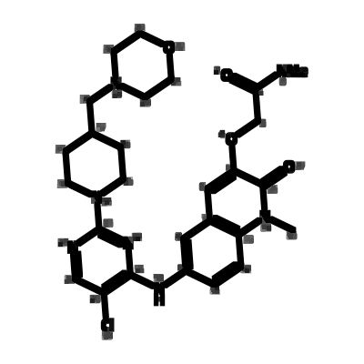 CNC(=O)COc1cc2cc(Nc3nc(N4CCC(CN5CCOCC5)CC4)ncc3Cl)ccc2n(C)c1=O